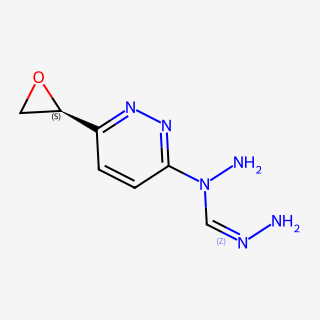 N/N=C\N(N)c1ccc([C@H]2CO2)nn1